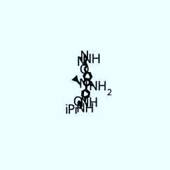 CC(C)NC(=O)Nc1ccc(C2C(N)c3ccc(OCc4ncn[nH]4)cc3N2CC2CC2)cc1